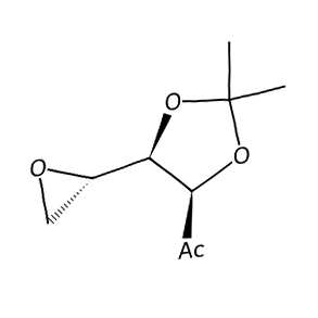 CC(=O)[C@@H]1OC(C)(C)O[C@@H]1[C@@H]1CO1